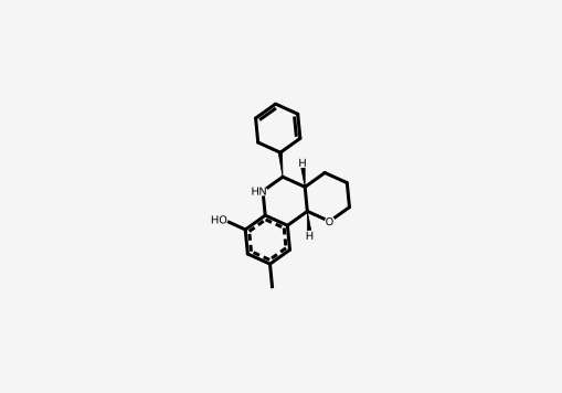 Cc1cc(O)c2c(c1)[C@H]1OCCC[C@H]1[C@H](C1C=CC=CC1)N2